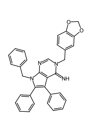 N=c1c2c(-c3ccccc3)c(-c3ccccc3)n(Cc3ccccc3)c2ncn1Cc1ccc2c(c1)OCO2